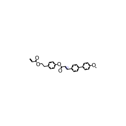 C=CC(=O)OCCc1ccc(OC(=O)/C=C/c2ccc(-c3ccc(OC)cc3)cc2)cc1